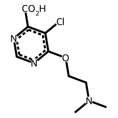 CN(C)CCOc1ncnc(C(=O)O)c1Cl